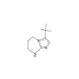 CC(C)(C)c1cnc2n1CCCN2